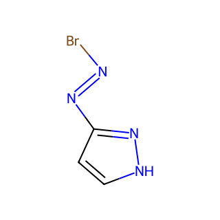 BrN=Nc1cc[nH]n1